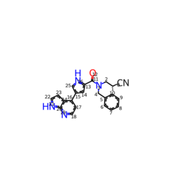 N#CCCN(Cc1ccccc1)C(=O)c1cc(-c2ccnc3[nH]ccc23)c[nH]1